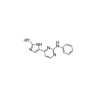 CCCc1ncc(-c2ccnc(Nc3ccccc3)n2)[nH]1